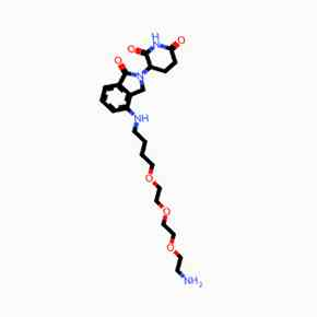 NCCOCCOCCOCCCCNc1cccc2c1CN(C1CCC(=O)NC1=O)C2=O